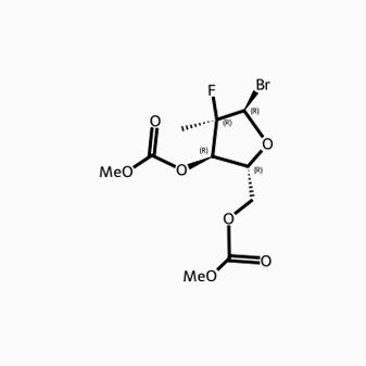 COC(=O)OC[C@H]1O[C@H](Br)[C@](C)(F)[C@@H]1OC(=O)OC